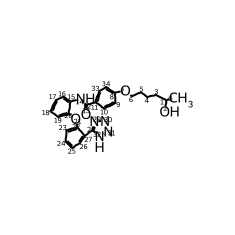 CC(O)CCCCOc1ccc(C(=O)Nc2ccccc2Oc2ccccc2-c2nnn[nH]2)cc1